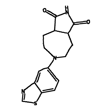 O=C1NC(=O)C2CCN(c3ccc4scnc4c3)CCC12